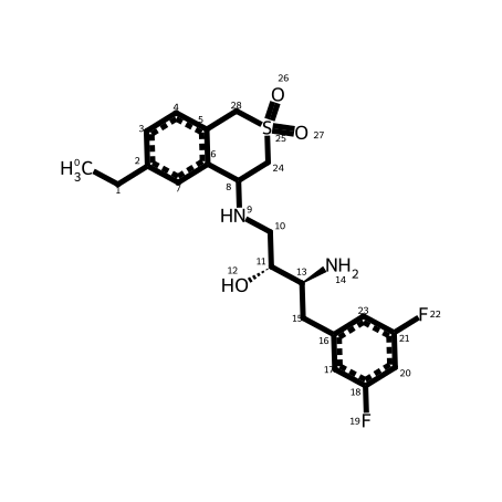 CCc1ccc2c(c1)C(NC[C@@H](O)[C@@H](N)Cc1cc(F)cc(F)c1)CS(=O)(=O)C2